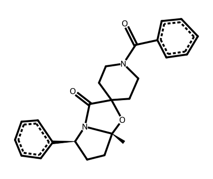 C[C@@]12CC[C@@H](c3ccccc3)N1C(=O)C1(CCN(C(=O)c3ccccc3)CC1)O2